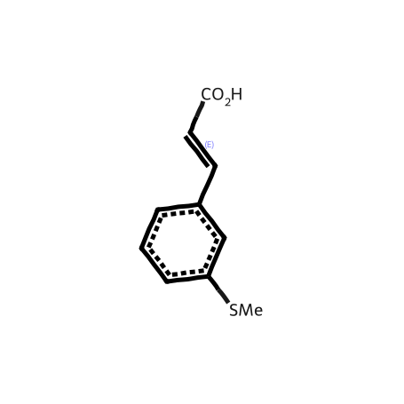 CSc1cccc(/C=C/C(=O)O)c1